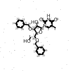 Cc1cn([C@@H]2O[C@H]([C@@H](CO)OCc3ccccc3)[C@@H](OCc3ccccc3)[C@H]2O)c(=O)[nH]c1=O